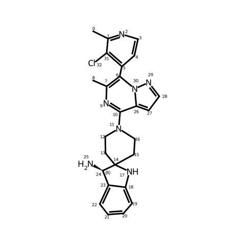 Cc1nccc(-c2c(C)nc(N3CCC4(CC3)Nc3ccccc3[C@H]4N)c3ccnn23)c1Cl